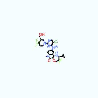 Cn1c(=O)c2c(c3cc(Nc4nc(N5CCC(F)(F)[C@@H](CO)C5)ncc4Cl)ccc31)NC(C1CC1)C(F)(F)CO2